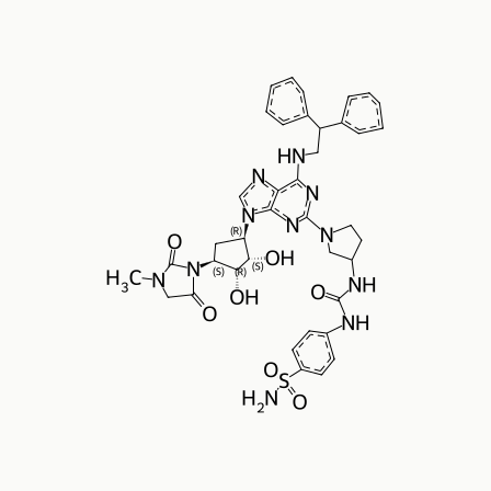 CN1CC(=O)N([C@H]2C[C@@H](n3cnc4c(NCC(c5ccccc5)c5ccccc5)nc(N5CCC(NC(=O)Nc6ccc(S(N)(=O)=O)cc6)C5)nc43)[C@H](O)[C@@H]2O)C1=O